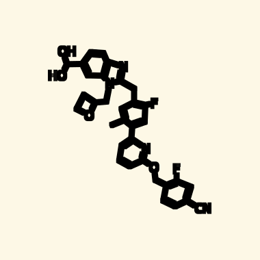 Cc1cc(Cc2nc3ccc(C(O)O)cc3n2CC2CCO2)c(F)cc1-c1cccc(OCc2ccc(C#N)cc2F)n1